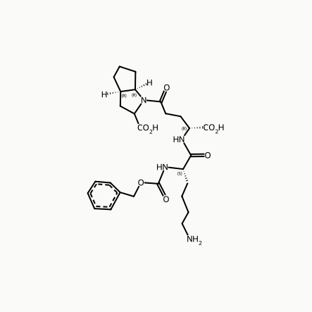 NCCCC[C@H](NC(=O)OCc1ccccc1)C(=O)N[C@H](CCC(=O)N1C(C(=O)O)C[C@H]2CCC[C@H]21)C(=O)O